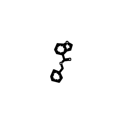 O=C(OCc1ccccc1)c1cccc2occc12